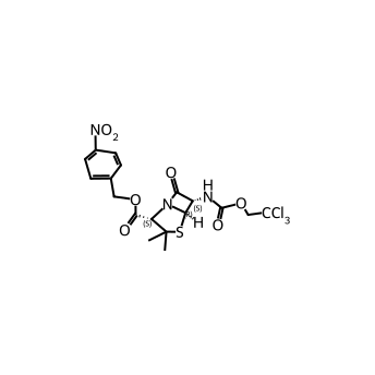 CC1(C)S[C@@H]2[C@@H](NC(=O)OCC(Cl)(Cl)Cl)C(=O)N2[C@H]1C(=O)OCc1ccc([N+](=O)[O-])cc1